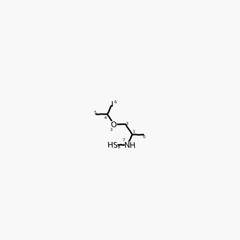 CC(COC(C)I)NS